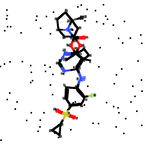 Cc1c(Nc2ccc(S(=O)(=O)C3CC3)cc2F)ncnc1OC1CC2CC[C@@H](C1)N2C(=O)OC1(C)CCC1